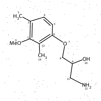 COc1c(C)ccc(OCC(O)CN)c1C